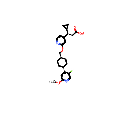 COc1cc([C@H]2CC[C@H](COc3cc([C@H](CC(=O)O)C4CC4)ccn3)CC2)c(F)cn1